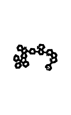 c1ccc(-c2ccc3ccc4ccc(-c5ccc(-c6ccc(-c7nc8ccccc8c8cc9c(cc78)-c7ccccc7C9(c7ccccc7)c7ccccc7)cc6)c6ncccc56)nc4c3n2)cc1